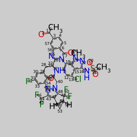 CC(=O)c1ccc2c(=O)n(-c3ccc(Cl)c4c(NS(C)(=O)=O)nn(C)c34)c([C@H](Cc3cc(F)cc(F)c3)NC(=O)Cn3nc(C(F)F)c4c3C(F)(F)[C@@H]3C[C@H]43)nc2c1